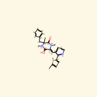 Cc1ccc(-c2ncccc2/C=C2/C(=O)N(C)C(C)(Cc3ccccc3)C(=O)N2C)s1